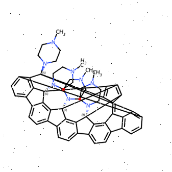 CN1CCN([C@@]23C4=C5C6=C7c8c9ccc%10c8[C@@]8(N%11CCN(C)CC%11)C6=C4[C@@]4(N6CCN(C)CC6)c6c(ccc(c62)-c2ccc6c(c23)[C@]5(N2CCN(C)CC2)c2c-6ccc-9c27)-c2ccc-%10c8c24)CC1